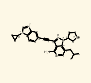 CC(C)Cc1cnc(N)c2c(C#Cc3ccc4c(c3)ncn4C3CC3)nn(C3CCNC3)c12